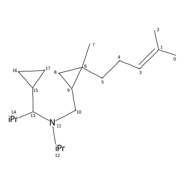 CC(C)=CCCC1(C)CC1CN(C(C)C)C(C(C)C)C1CC1